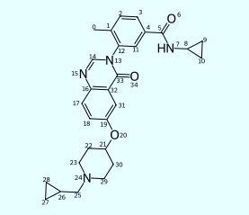 Cc1ccc(C(=O)NC2CC2)cc1-n1cnc2ccc(OC3CCN(CC4CC4)CC3)cc2c1=O